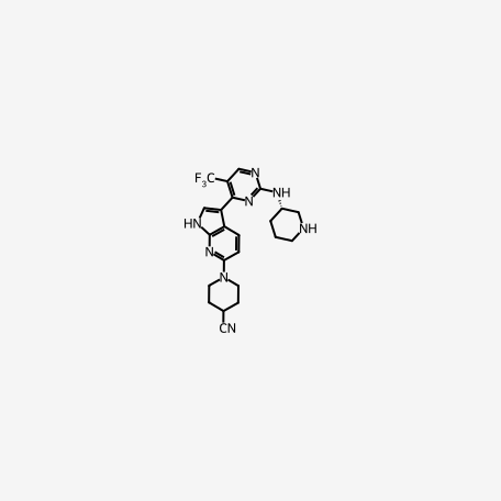 N#CC1CCN(c2ccc3c(-c4nc(N[C@H]5CCCNC5)ncc4C(F)(F)F)c[nH]c3n2)CC1